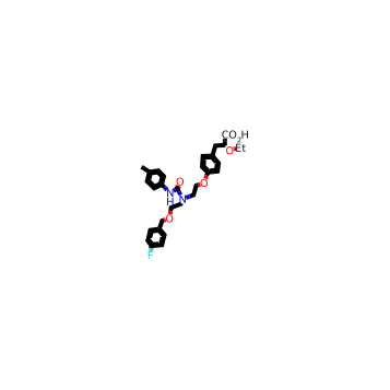 CCOC(Cc1ccc(OCCN(CCOCc2ccc(F)cc2)C(=O)Nc2ccc(C)cc2)cc1)C(=O)O